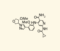 COc1c(Nc2cc(NC(=O)C3CC3)ncc2C(N)=O)cccc1-c1cnn([C@H]2COC[C@@H]2OC)c1